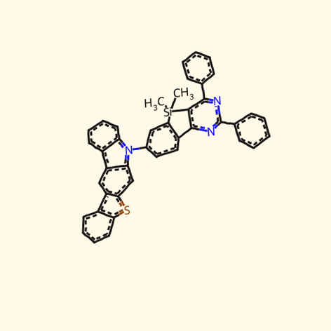 C[Si]1(C)c2cc(-n3c4ccccc4c4cc5c(cc43)sc3ccccc35)ccc2-c2nc(-c3ccccc3)nc(-c3ccccc3)c21